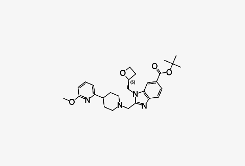 COc1cccc(C2CCN(Cc3nc4ccc(C(=O)OC(C)(C)C)cc4n3C[C@@H]3CCO3)CC2)n1